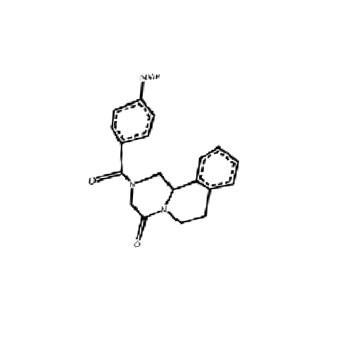 CNc1ccc(C(=O)N2CC(=O)N3CCc4ccccc4C3C2)cc1